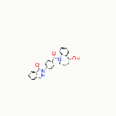 Cc1ccccc1C(=O)Nc1ccc(C(=O)N2CCCC(O)c3ccccc32)cc1